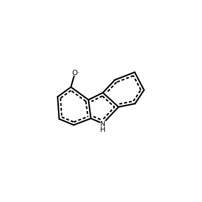 [O]c1cccc2[nH]c3ccccc3c12